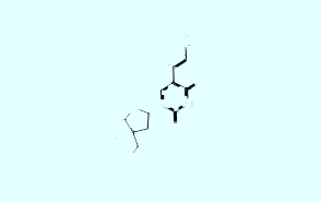 O=c1[nH]c(=O)n([C@@H]2C[C@@](F)(CO)CO2)cc1/C=C/Br